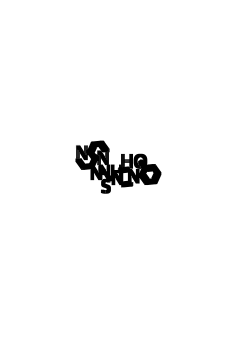 CN1CC/C(=N/NC(=S)N2CCN(c3ccccc3O)CC2)c2ncccc21